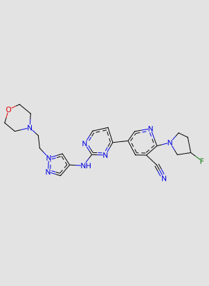 N#Cc1cc(-c2ccnc(Nc3cnn(CCN4CCOCC4)c3)n2)cnc1N1CCC(F)C1